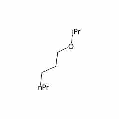 [CH2]C(C)OCCCCCC